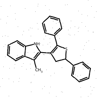 Cc1c(C2=C(c3ccccc3)SC(c3ccccc3)C2)[nH]c2ccccc12